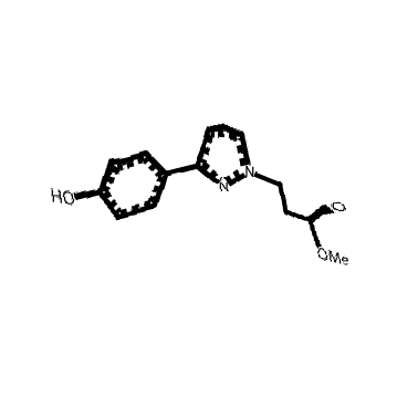 COC(=O)CCn1ccc(-c2ccc(O)cc2)n1